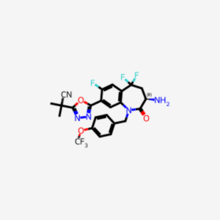 CC(C)(C#N)c1nnc(-c2cc3c(cc2F)C(F)(F)C[C@@H](N)C(=O)N3Cc2ccc(OC(F)(F)F)cc2)o1